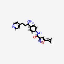 NC(CCc1ccncc1)c1ccc(NC(=O)c2cc(C3CC3)on2)cc1